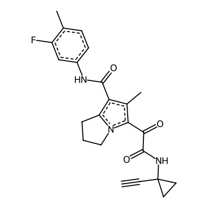 C#CC1(NC(=O)C(=O)c2c(C)c(C(=O)Nc3ccc(C)c(F)c3)c3n2CCC3)CC1